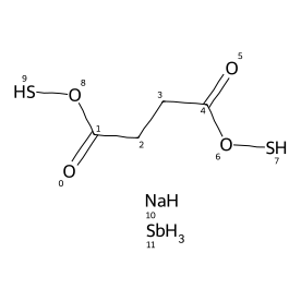 O=C(CCC(=O)OS)OS.[NaH].[SbH3]